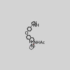 CC(=O)NC1CC2CCC(C1)N2Cc1ccc2cc(Oc3ccc(-c4ccn[nH]4)cc3)ccc2n1